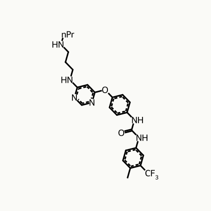 CCCNCCCNc1cc(Oc2ccc(NC(=O)Nc3ccc(C)c(C(F)(F)F)c3)cc2)ncn1